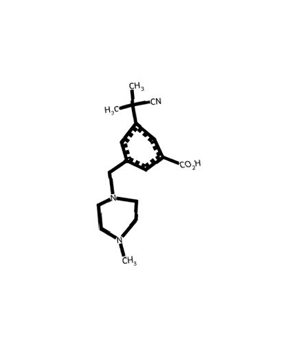 CN1CCN(Cc2cc(C(=O)O)cc(C(C)(C)C#N)c2)CC1